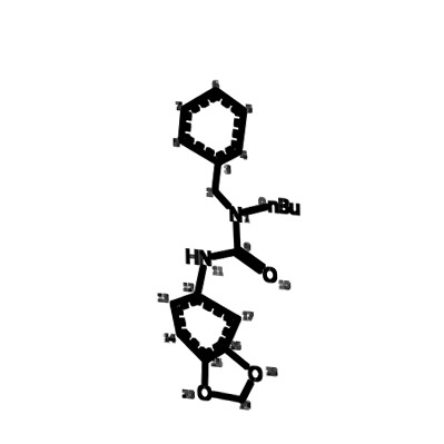 CCCCN(Cc1ccccc1)C(=O)Nc1ccc2c(c1)OCO2